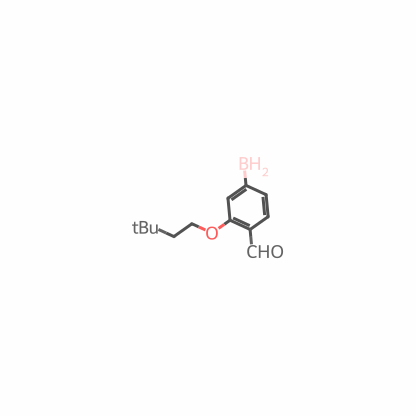 Bc1ccc(C=O)c(OCCC(C)(C)C)c1